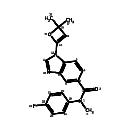 CN(C(=O)c1ccc2c(c1)ncn2C1=CC(C)(C)O1)c1ccc(F)cc1